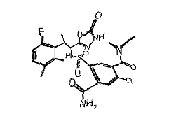 Cc1ccc(F)c([C@@H](C)[C@H](NS(=O)(=O)c2cc(C(=O)N(C)C)c(Cl)cc2C(N)=O)c2n[nH]c(=O)o2)c1C